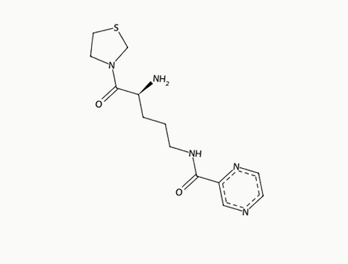 N[C@@H](CCCNC(=O)c1cnccn1)C(=O)N1CCSC1